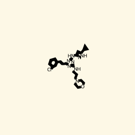 Clc1cccc(/C=C/c2nc(NCCCN3CCOCC3)nc(Nc3cc(C4CC4)[nH]n3)n2)c1